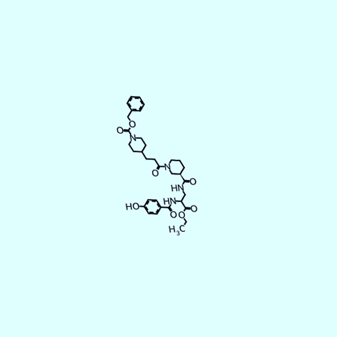 CCOC(=O)C(CNC(=O)[C@@H]1CCCN(C(=O)CCC2CCN(C(=O)OCc3ccccc3)CC2)C1)NC(=O)c1ccc(O)cc1